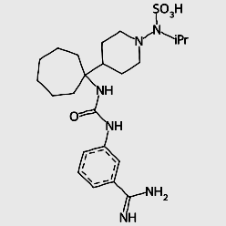 CC(C)N(N1CCC(C2(NC(=O)Nc3cccc(C(=N)N)c3)CCCCCC2)CC1)S(=O)(=O)O